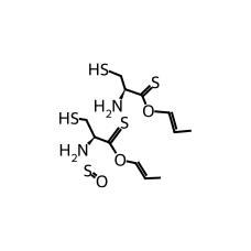 CC=COC(=S)[C@@H](N)CS.CC=COC(=S)[C@@H](N)CS.O=S